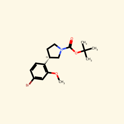 COc1cc(Br)ccc1[C@@H]1CCN(C(=O)OC(C)(C)C)C1